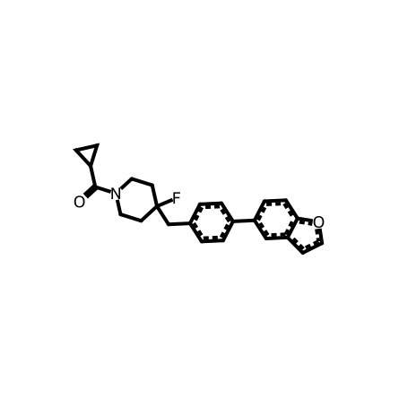 O=C(C1CC1)N1CCC(F)(Cc2ccc(-c3ccc4occc4c3)cc2)CC1